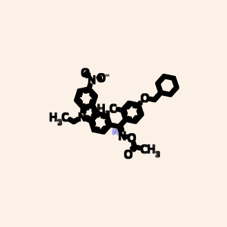 CCn1c2ccc(/C(=N/OC(C)=O)c3ccc(OCC4CCCCC4)cc3C)cc2c2cc([N+](=O)[O-])ccc21